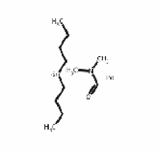 CCC[CH2][Sn][CH2]CCC.CN(C)C=O.[Pd]